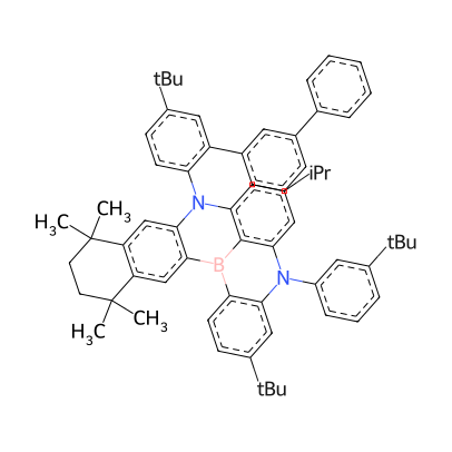 CC(C)c1cc2c3c(c1)N(c1ccc(C(C)(C)C)cc1-c1cccc(-c4ccccc4)c1)c1cc4c(cc1B3c1ccc(C(C)(C)C)cc1N2c1cccc(C(C)(C)C)c1)C(C)(C)CCC4(C)C